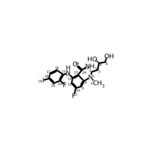 CN(CC[C@@H](O)CO)c1cc(F)cc(Nc2ccc(I)cc2F)c1C(N)=O